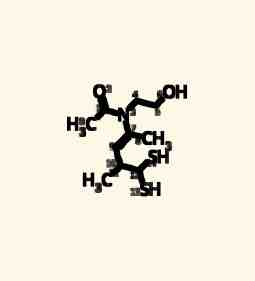 CC(=O)N(CCO)C(C)=CC(C)C(S)S